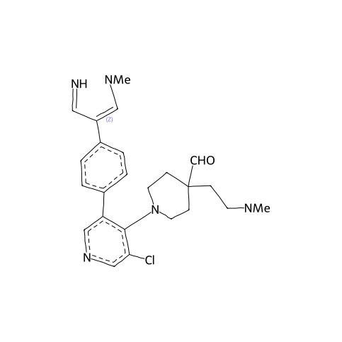 CN/C=C(\C=N)c1ccc(-c2cncc(Cl)c2N2CCC(C=O)(CCNC)CC2)cc1